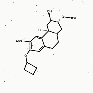 COc1cc2c(cc1OC1CCC1)CCN1C[C@@H](OC(C)(C)C)[C@H](O)C[C@H]21